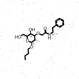 CCCCO[C@H]1OC(CO)[C@@H](O)C(OCC(=O)N[C@@H](C)Cc2ccccc2)[C@@H]1C